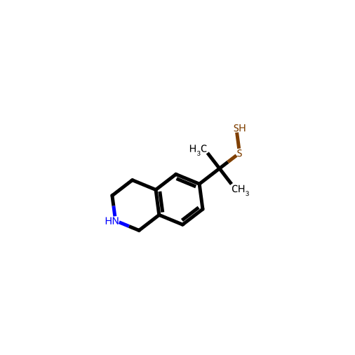 CC(C)(SS)c1ccc2c(c1)CCNC2